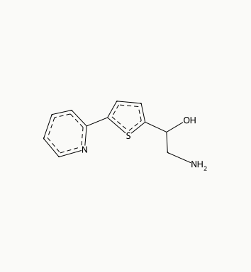 NCC(O)c1ccc(-c2ccccn2)s1